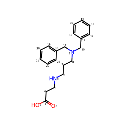 O=C(O)CCNCCCN(Cc1ccccc1)Cc1ccccc1